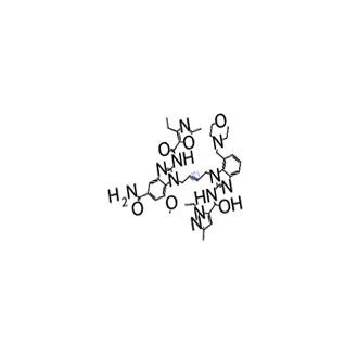 CCc1nc(C)oc1C(=O)Nc1nc2cc(C(N)=O)cc(OC)c2n1C/C=C/Cn1c(NC(O)c2cc(C)nn2CC)nc2cccc(CN3CCOCC3)c21